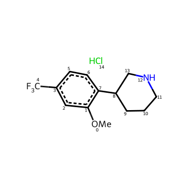 COc1cc(C(F)(F)F)ccc1C1CCCNC1.Cl